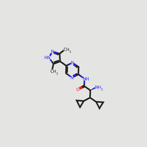 Cc1n[nH]c(C)c1-c1cnc(NC(=O)[C@@H](N)C(C2CC2)C2CC2)cn1